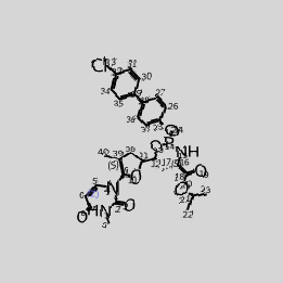 CNC(=O)N(/C=C\C=O)C1OC(COP(N[C@@H](C)C(=O)OC(C)C)Oc2ccc(-c3ccc(Cl)cc3)cc2)C[C@@H]1C